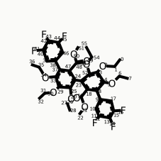 CCOc1c(OCC)c(-c2cc(F)c(F)c(F)c2)c(C(=O)OC)c(-c2c(OCC)c(OCC)c(OCC)c(-c3cc(F)c(F)c(F)c3)c2C(=O)OC)c1OCC